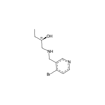 CC[C@@H](O)CNCc1cnccc1Br